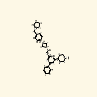 c1ccc(-c2cc(C3CCNCC3)nc(OC[C@H]3C[C@@H](c4ccc(CN5CCCC5)cc4)C3)n2)cc1